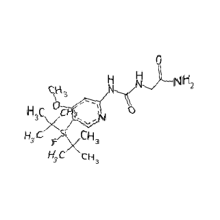 COc1cc(NC(=O)NCC(N)=O)ncc1[Si](F)(C(C)(C)C)C(C)(C)C